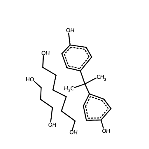 CC(C)(c1ccc(O)cc1)c1ccc(O)cc1.OCCCCCCO.OCCCO